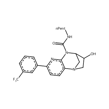 CCCCCNC(=O)N1c2nc(-c3cccc(C(F)(F)F)c3)ccc2N2CC(O)C1C2